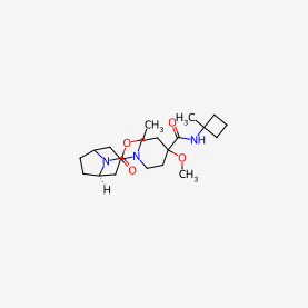 CCOC(=O)N1C2CC[C@@H]1CC(N1CCC(OC)(C(=O)NC3(C)CCC3)CC1)C2